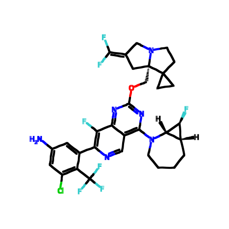 Nc1cc(Cl)c(C(F)(F)F)c(-c2ncc3c(N4CCCC[C@H]5[C@H](F)[C@H]54)nc(OC[C@]45CC(=C(F)F)CN4CCC54CC4)nc3c2F)c1